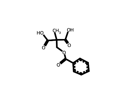 CC(COC(=O)c1ccccc1)(C(=O)O)C(=O)O